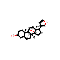 C[C@]12CCC(O)CC1CC[C@@H]1[C@H]2CC[C@]2(C)C(c3ccoc3)CC[C@@]12O